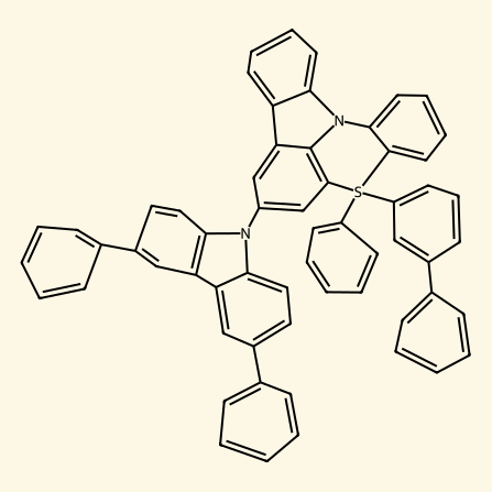 c1ccc(-c2cccc(S3(c4ccccc4)c4ccccc4-n4c5ccccc5c5cc(-n6c7ccc(-c8ccccc8)cc7c7cc(-c8ccccc8)ccc76)cc3c54)c2)cc1